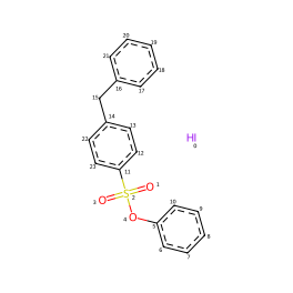 I.O=S(=O)(Oc1ccccc1)c1ccc(Cc2ccccc2)cc1